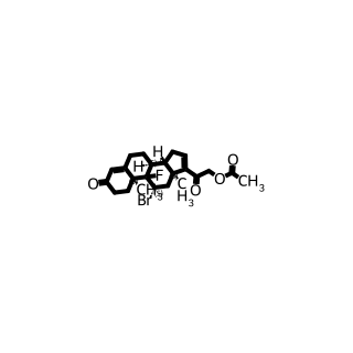 CC(=O)OCC(=O)C1=CC[C@H]2[C@@H]3CCC4=CC(=O)CC[C@]4(C)C3(F)[C@@H](Br)C[C@]12C